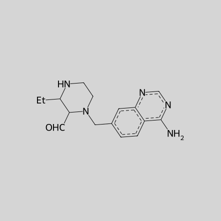 CCC1NCCN(Cc2ccc3c(N)ncnc3c2)C1C=O